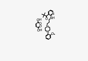 COc1ccccc1N1CCN(CCCNc2ncccc2C(=O)C(C)(C)C)CC1.O=C(O)/C=C\C(=O)O